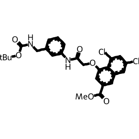 COC(=O)c1cc(OCC(=O)Nc2cccc(CNC(=O)OC(C)(C)C)c2)c2c(Cl)cc(Cl)cc2c1